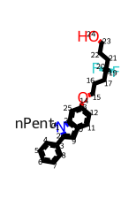 CCCCCn1c(-c2ccccc2)cc2ccc(OCCCC(F)(F)CCCO)cc21